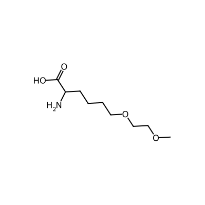 COCCOCCCCC(N)C(=O)O